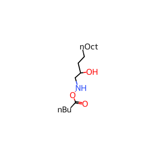 CCCCCCCCCCC(O)CNOC(=O)CCCC